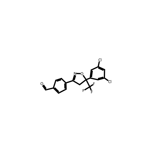 O=Cc1ccc(C2=NOC(c3cc(Cl)cc(Cl)c3)(C(F)(F)F)C2)cc1